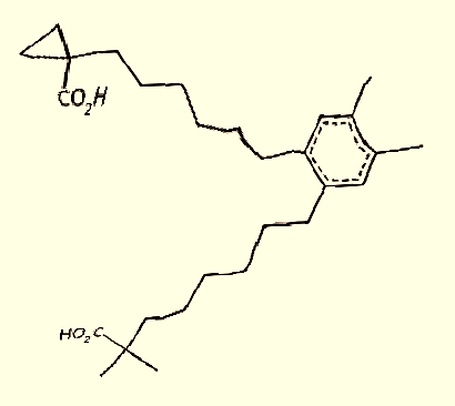 Cc1cc(CCCCCCC(C)(C)C(=O)O)c(CCCCCCC2(C(=O)O)CC2)cc1C